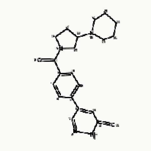 O=C(c1ccc(-c2cn[nH]c(=O)c2)cc1)N1CCC(N2CCCCC2)C1